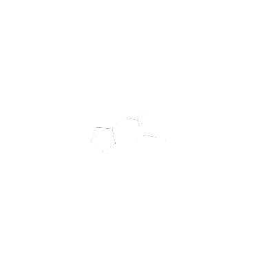 CC(OC1CCCC1)[SiH](C)C